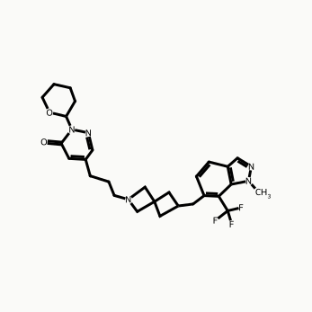 Cn1ncc2ccc(CC3CC4(C3)CN(CCCc3cnn(C5CCCCO5)c(=O)c3)C4)c(C(F)(F)F)c21